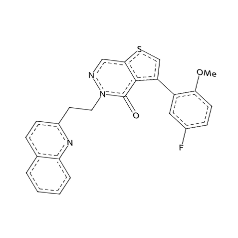 COc1ccc(F)cc1-c1csc2cnn(CCc3ccc4ccccc4n3)c(=O)c12